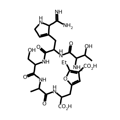 CCc1oc(CC(NC(=O)C(C)NC(=O)C(CO)NC(=O)C(CC2=CCNC2C(=N)N)NC(=O)C(N)C(C)O)C(=O)O)cc1C(=O)O